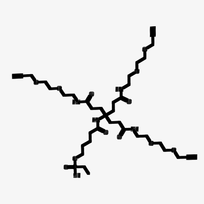 C#CCOCCOCCNC(=O)CCC(CCC(=O)NCCOCCOCC#C)(CCC(=O)NCCOCCOCC#C)NC(=O)CCCCOP(=O)(S)CC